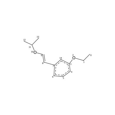 CCOc1cccc(C=COC(C)C)c1